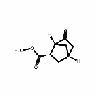 COC(=O)[C@@H]1C[C@H]2CC(=O)[C@@H]1C2